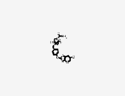 NC(=O)N1C[C@@H]2C[C@H]1CN2Cc1ccc(Oc2nc3ncc(Cl)cc3s2)cc1